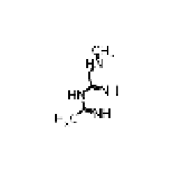 CNCC(=N)NC(C)=N